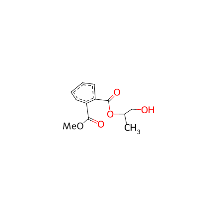 COC(=O)c1ccccc1C(=O)OC(C)CO